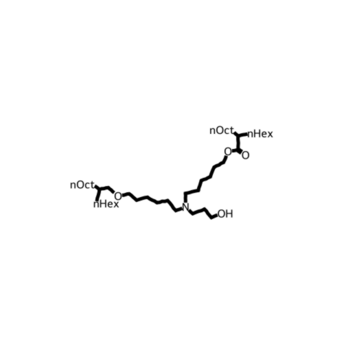 CCCCCCCCC(CCCCCC)COCCCCCCN(CCCO)CCCCCCOC(=O)C(CCCCCC)CCCCCCCC